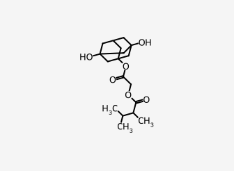 CC(C)C(C)C(=O)OCC(=O)OC12CC3CC(O)(CC(O)(C3)C1)C2